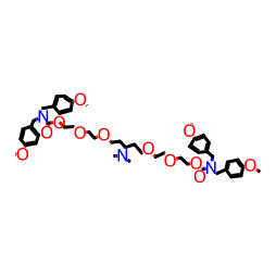 COc1ccc(CN(Cc2ccc(OC)cc2)C(=O)OCCOCCOCCC(CCOCCOCCOC(=O)N(Cc2ccc(OC)cc2)Cc2ccc(OC)cc2)N(C)C)cc1